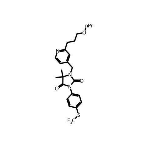 CCCOCCCc1cc(CN2C(=O)N(c3ccc(SC(F)(F)F)cc3)C(=O)C2(C)C)ccn1